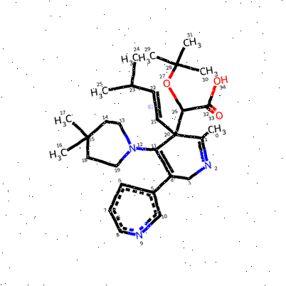 CC1=NCC(c2cccnc2)=C(N2CCC(C)(C)CC2)C1(/C=C/C(C)C)C(OC(C)(C)C)C(=O)O